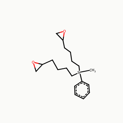 C[Si](CCCCC1CO1)(CCCCC1CO1)c1ccccc1